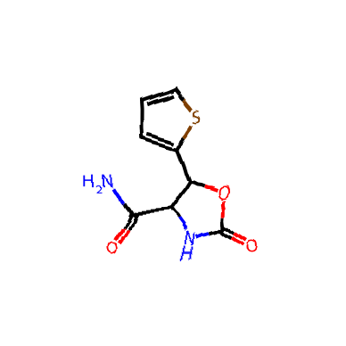 NC(=O)C1NC(=O)OC1c1cccs1